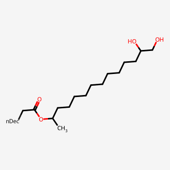 CCCCCCCCCCCC(=O)OC(C)CCCCCCCCCCC(O)CO